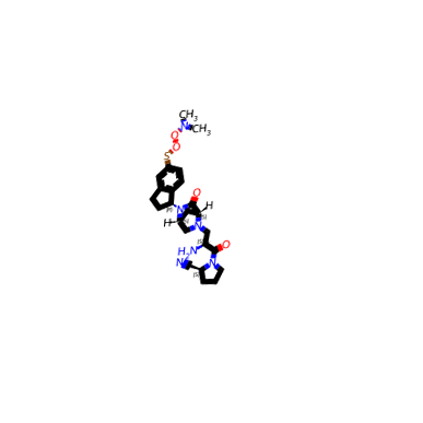 CN(C)OOSc1ccc2c(c1)CC[C@H]2N1C(=O)[C@@H]2C[C@H]1CN2C[C@H](N)C(=O)N1CCC[C@H]1C#N